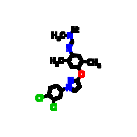 CCN(C)C=Nc1cc(C)c(Oc2ccn(-c3ccc(Cl)c(Cl)c3)n2)cc1C